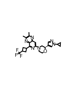 Cc1nc2cc(N3CCO[C@H](c4cnn(C5CC5)c4)C3)nc(C3CC(C(F)(F)F)C3)c2nc1C